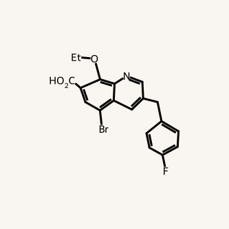 CCOc1c(C(=O)O)cc(Br)c2cc(Cc3ccc(F)cc3)cnc12